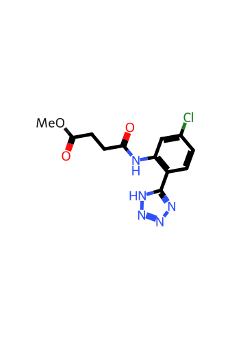 COC(=O)CCC(=O)Nc1cc(Cl)ccc1-c1nnn[nH]1